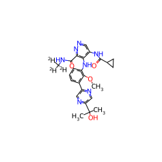 [2H]C([2H])([2H])NC(=O)c1nncc(NC(=O)C2CC2)c1Nc1cccc(-c2cnc(C(C)(C)O)cn2)c1OC